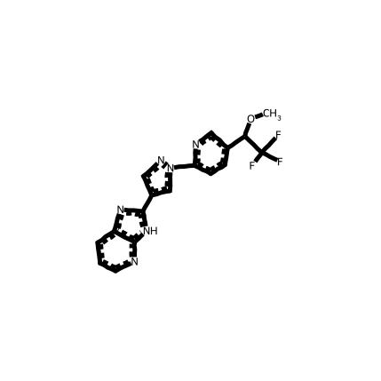 COC(c1ccc(-n2cc(-c3nc4cccnc4[nH]3)cn2)nc1)C(F)(F)F